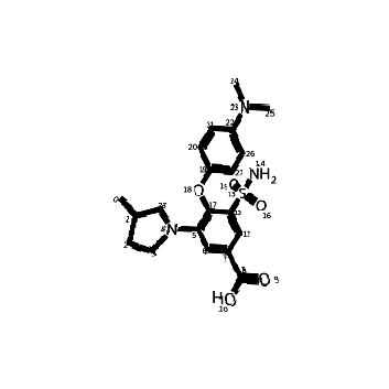 CC1CCN(c2cc(C(=O)O)cc(S(N)(=O)=O)c2Oc2ccc(N(C)C)cc2)C1